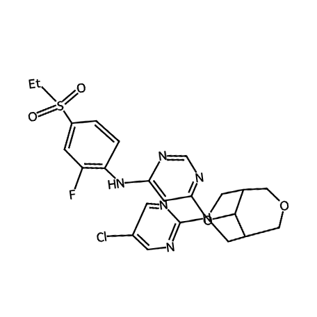 CCS(=O)(=O)c1ccc(Nc2cc(OC3C4COCC3CN(c3ncc(Cl)cn3)C4)ncn2)c(F)c1